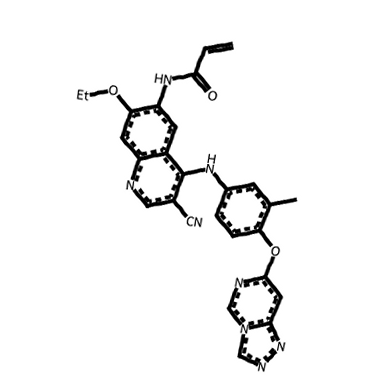 C=CC(=O)Nc1cc2c(Nc3ccc(Oc4cc5nncn5cn4)c(C)c3)c(C#N)cnc2cc1OCC